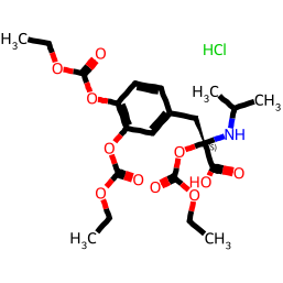 CCOC(=O)Oc1ccc(C[C@](NC(C)C)(OC(=O)OCC)C(=O)O)cc1OC(=O)OCC.Cl